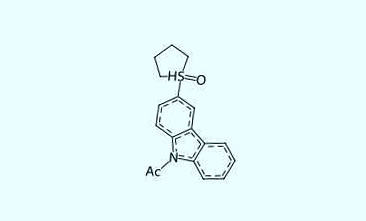 CC(=O)n1c2ccccc2c2cc([SH]3(=O)CCCC3)ccc21